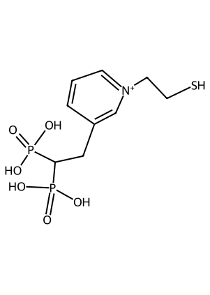 O=P(O)(O)C(Cc1ccc[n+](CCS)c1)P(=O)(O)O